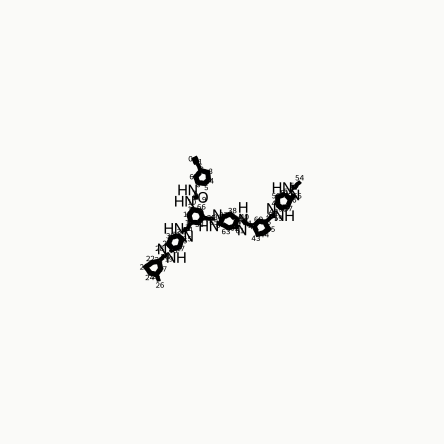 C#Cc1cccc(NC(=O)Nc2cc(-c3nc4cc5[nH]c(-c6cccc(C)c6)nc5cc4[nH]3)cc(-c3nc4cc5[nH]c(-c6cccc(-c7nc8cc9[nH]c(C)nc9cc8[nH]7)c6)nc5cc4[nH]3)c2)c1